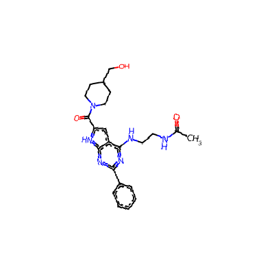 CC(=O)NCCNc1nc(-c2ccccc2)nc2[nH]c(C(=O)N3CCC(CO)CC3)cc12